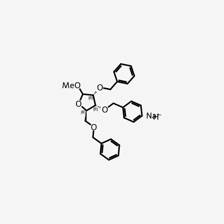 COC1O[C@H](COCc2ccccc2)[C@@H](OCc2ccccc2)[C@H]1OCc1ccccc1.[H-].[Na+]